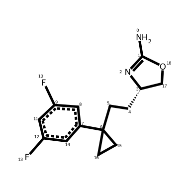 NC1=N[C@@H](CCC2(c3cc(F)cc(F)c3)CC2)CO1